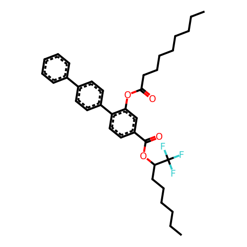 CCCCCCCCC(=O)Oc1cc(C(=O)OC(CCCCCC)C(F)(F)F)ccc1-c1ccc(-c2ccccc2)cc1